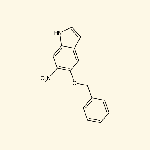 O=[N+]([O-])c1cc2[nH]ccc2cc1OCc1ccccc1